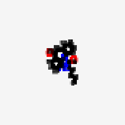 CCCCNC(=O)N1c2ccccc2CC(=O)c2ccccc21